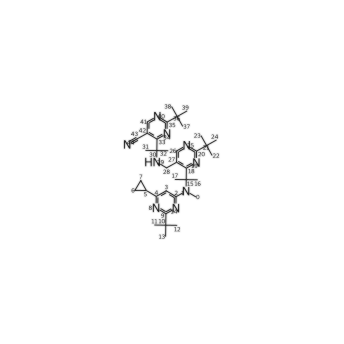 CN(c1cc(C2CC2)nc(C(C)(C)C)n1)C(C)(C)c1nc(C(C)(C)C)ncc1CNC(C)(C)c1nc(C(C)(C)C)ncc1C#N